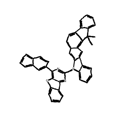 CC1(C)c2ccccc2-c2ccc3cc4c(cc3c21)c1ccccc1n4-c1nc(-c2ccc3ccccc3c2)c2oc3ccccc3c2n1